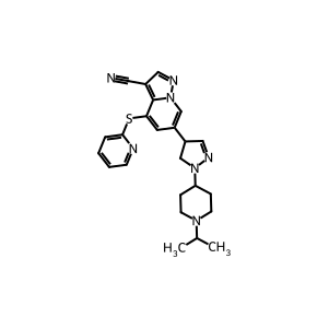 CC(C)N1CCC(N2CC(c3cc(Sc4ccccn4)c4c(C#N)cnn4c3)C=N2)CC1